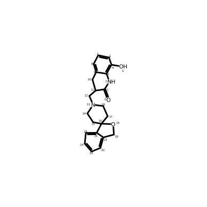 O=C1Nc2c(O)cccc2CC1CN1CCC2(CC1)OCc1ccccc12